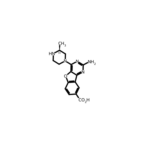 C[C@H]1CN(c2nc(N)nc3c2oc2ccc(C(=O)O)cc23)CCN1